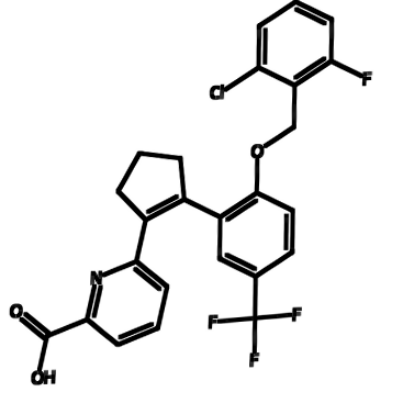 O=C(O)c1cccc(C2=C(c3cc(C(F)(F)F)ccc3OCc3c(F)cccc3Cl)CCC2)n1